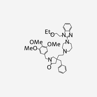 CCOCCn1c(N2CCCN(CCC3(Cc4ccccc4)CC(=O)N(Cc4cc(OC)c(OC)c(OC)c4)C3)CC2)nc2ccccc21